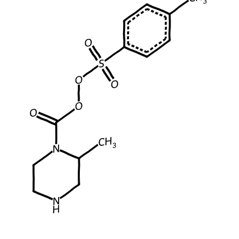 Cc1ccc(S(=O)(=O)OOC(=O)N2CCNCC2C)cc1